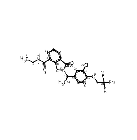 CCNC(=O)c1nccc2c1CN(C(C)c1cnc(OCC(F)(F)F)c(Cl)c1)C2=O